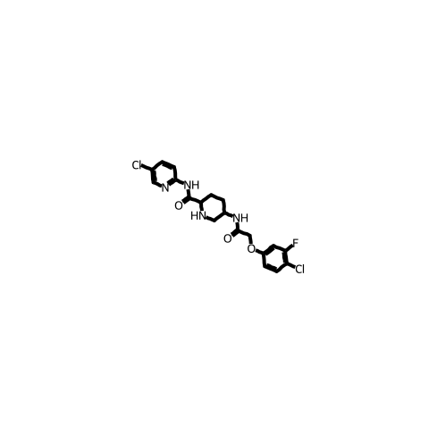 O=C(COc1ccc(Cl)c(F)c1)NC1CCC(C(=O)Nc2ccc(Cl)cn2)NC1